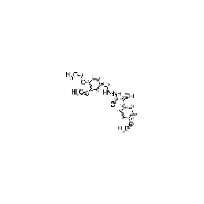 CCOc1ccc(CNNC(=O)C(O)c2ccc(OC)cc2)cc1OC